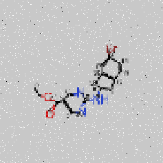 CCOC(=O)c1cnc(NC2Cc3ccc(Br)cc3C2)nc1